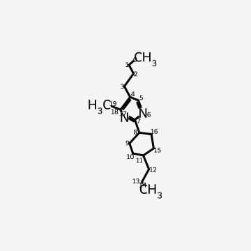 CCCCc1cnc(C2CCC(CCC)CC2)nc1C